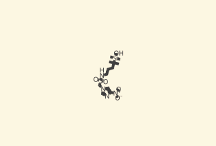 CC(C)(CCCNS(=O)(=O)Cn1cnc([N+](=O)[O-])c1)[Si](C)(C)O